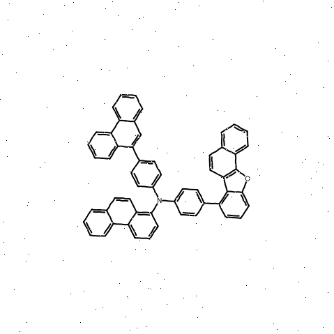 c1ccc2c(c1)cc(-c1ccc(N(c3ccc(-c4cccc5oc6c7ccccc7ccc6c45)cc3)c3cccc4c3ccc3ccccc34)cc1)c1ccccc12